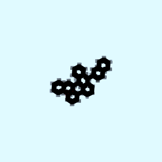 c1ccc(-c2cccc3c(-c4ccc5ccccc5c4)c4ccccc4c(-c4ccc5ccccc5c4)c23)cc1